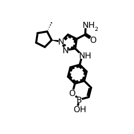 C[C@H]1CCC[C@@H]1n1cc(C(N)=O)c(Nc2ccc3c(c2)C=CB(O)O3)n1